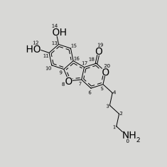 NCCCCc1cc2oc3cc(O)c(O)cc3c2c(=O)o1